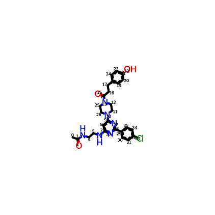 CC(=O)NCCNc1cc(N2CCN(C(=O)CCc3ccc(O)cc3)CC2)nc(-c2ccc(Cl)cc2)n1